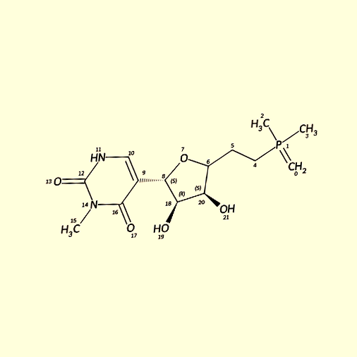 C=P(C)(C)CCC1O[C@@H](c2c[nH]c(=O)n(C)c2=O)[C@H](O)[C@@H]1O